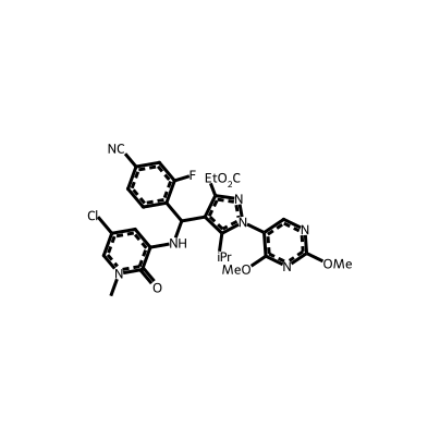 CCOC(=O)c1nn(-c2cnc(OC)nc2OC)c(C(C)C)c1C(Nc1cc(Cl)cn(C)c1=O)c1ccc(C#N)cc1F